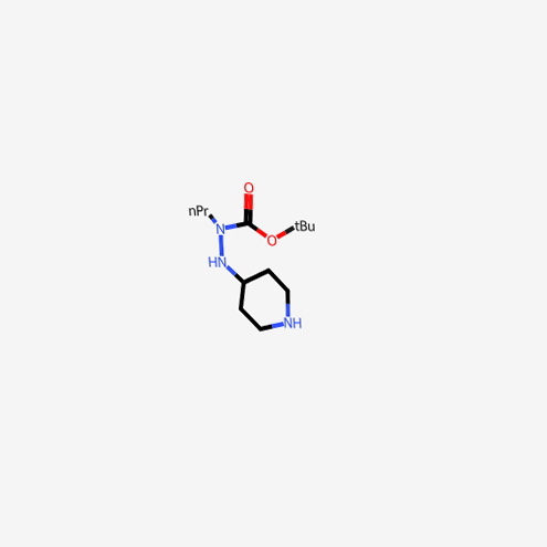 CCCN(NC1CCNCC1)C(=O)OC(C)(C)C